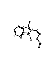 C=CC/C=C\c1c(C)c2ccccc2n1C